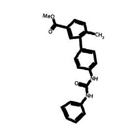 COC(=O)c1ccc(C)c(-c2ccc(NC(=O)Nc3ccccc3)cc2)c1